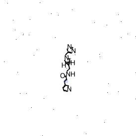 O=C(/C=C/c1cccnc1)NCCC1[C@H]2CN(Cc3cncnc3)C[C@@H]12